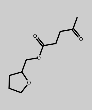 CC(=O)CCC(=O)OCC1CCCO1